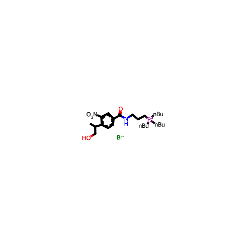 CCCC[P+](CCCC)(CCCC)CCCNC(=O)c1ccc(C(C)CO)c([N+](=O)[O-])c1.[Br-]